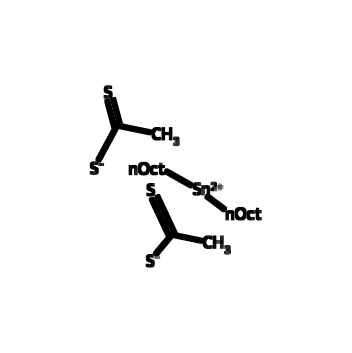 CC(=S)[S-].CC(=S)[S-].CCCCCCC[CH2][Sn+2][CH2]CCCCCCC